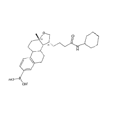 C[C@]12CCC3c4ccc(B(O)O)cc4CCC3C1[C@@H](CCCC(=O)NC1CCCCC1)CO2